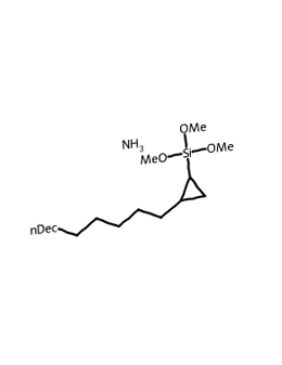 CCCCCCCCCCCCCCCC1CC1[Si](OC)(OC)OC.N